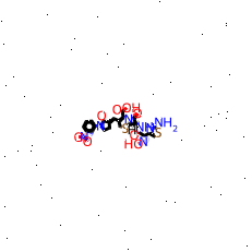 Nc1nc(/C(=N/O)C(=O)N[C@@H]2C(=O)N3C(C(=O)O)=C(C=C4CCN(c5cccc([N+](=O)[O-])c5)C4=O)CS[C@H]23)cs1